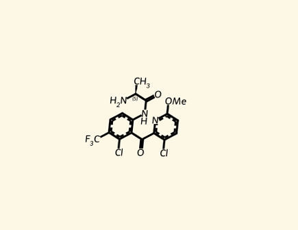 COc1ccc(Cl)c(C(=O)c2c(NC(=O)[C@H](C)N)ccc(C(F)(F)F)c2Cl)n1